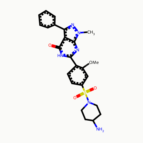 COc1cc(S(=O)(=O)N2CCC(N)CC2)ccc1-c1nc2c(c(-c3ccccc3)nn2C)c(=O)[nH]1